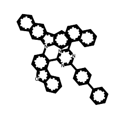 c1ccc(-c2ccc(-c3nc(-c4cccc5ccccc45)nc(-c4c(-n5c6ccccc6c6cc7ccccc7cc65)ccc5oc6ccccc6c45)n3)cc2)cc1